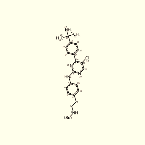 CC(C)(C)NCCc1ccc(Nc2ncc(Cl)c(-c3ccc(C(C)(C)N)cc3)n2)cc1